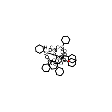 C[Si]12O[Si]3(C4CCCCC4)O[Si]4(C5CCCCC5)O[Si](C5CCCCC5)(O1)O[Si]1(C5CCCCC5)O[Si](C5CCCCC5)(O2)O[Si](C2CCCCC2)(O3)O[Si](C2CCCCC2)(O4)O1